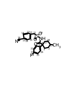 CC1CCC(C(=O)NS(=O)(=O)Cc2ccc(C#N)cc2)(c2ccc(F)cc2)CC1